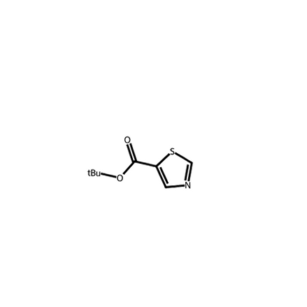 CC(C)(C)OC(=O)c1cncs1